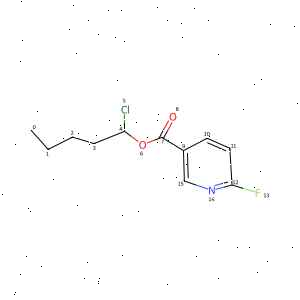 CCCCC(Cl)OC(=O)c1ccc(F)nc1